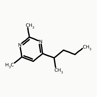 CCCC(C)c1cc(C)nc(C)n1